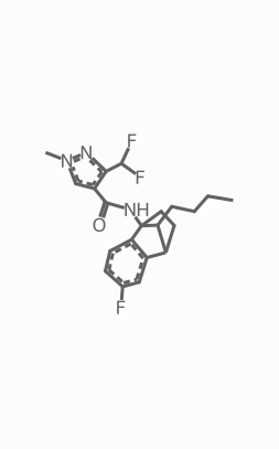 CCCCC1C2CCC1(NC(=O)c1cn(C)nc1C(F)F)c1ccc(F)cc12